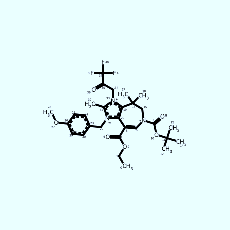 CCOC(=O)C1=CN(C(=O)OC(C)(C)C)CC(C)(C)c2c1n(Cc1ccc(OC)cc1)c(C)[n+]2CC(=O)C(F)(F)F